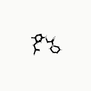 Cc1ccc(OCC(=O)N2CCCCC2)cc1CC(C)C